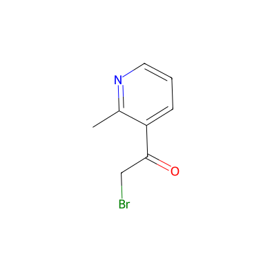 Cc1ncccc1C(=O)CBr